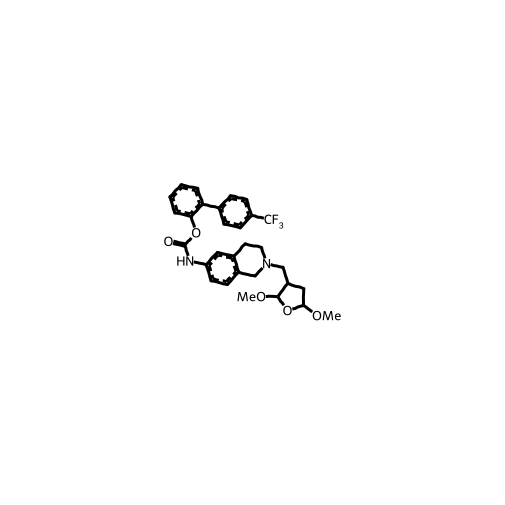 COC1CC(CN2CCc3cc(NC(=O)Oc4ccccc4-c4ccc(C(F)(F)F)cc4)ccc3C2)C(OC)O1